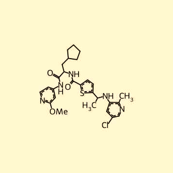 COc1cc(NC(=O)C(CC2CCCC2)NC(=O)c2ccc(C(C)Nc3cc(Cl)cnc3C)s2)ccn1